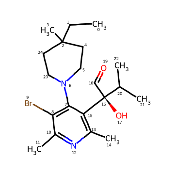 CCC1(C)CCN(c2c(Br)c(C)nc(C)c2[C@](O)(C=O)C(C)C)CC1